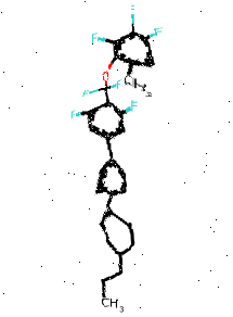 CCCC1CCC(c2ccc(-c3cc(F)c(C(F)(F)Oc4c(C)cc(F)c(F)c4F)c(F)c3)cc2)CC1